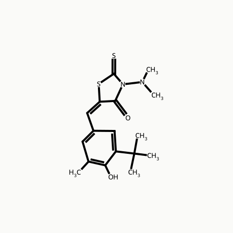 Cc1cc(C=C2SC(=S)N(N(C)C)C2=O)cc(C(C)(C)C)c1O